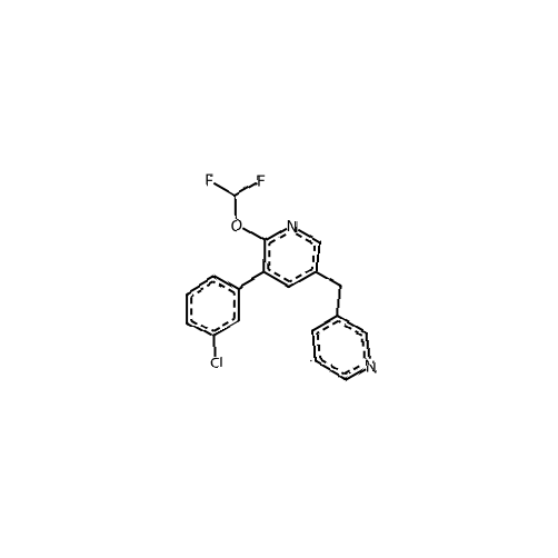 FC(F)Oc1ncc(Cc2c[c]cnc2)cc1-c1cccc(Cl)c1